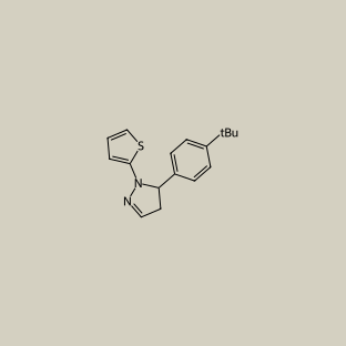 CC(C)(C)c1ccc(C2CC=NN2c2cccs2)cc1